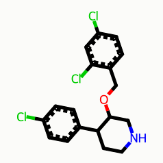 Clc1ccc(C2CCNCC2OCc2ccc(Cl)cc2Cl)cc1